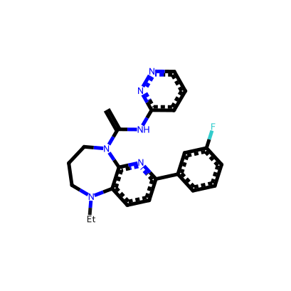 C=C(Nc1cccnn1)N1CCCN(CC)c2ccc(-c3cccc(F)c3)nc21